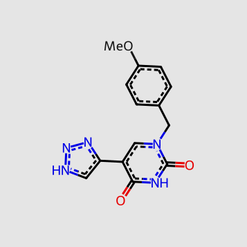 COc1ccc(Cn2cc(-c3c[nH]nn3)c(=O)[nH]c2=O)cc1